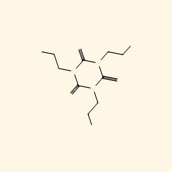 C=C1N(CCS)C(=O)N(CCS)C(=O)N1CCS